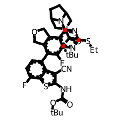 CCSc1nc(N2C3CCC2CN(C(=O)OC(C)(C)C)C3)c2c3c(c(-c4ccc(F)c5sc(NC(=O)OC(C)(C)C)c(C#N)c45)c(F)c2n1)COC3